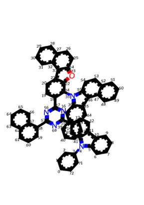 c1ccc(-n2c3ccccc3c3ccc(-c4nc(-c5ccc6c(oc7ccc8ccccc8c76)c5-n5c6cc7ccccc7cc6c6c7ccccc7ccc65)nc(-c5cccc6ccccc56)n4)cc32)cc1